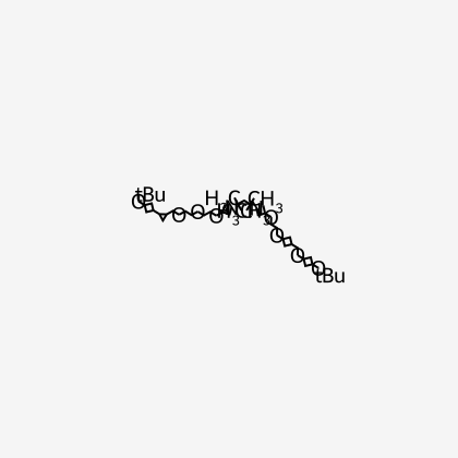 CC(C)(C)OC1CC(OCC2CC(OCCOC3CN(C(C)(C)CC(C)(C)N4CC(OCCOCCOCC5CC5C5CC(OC(C)(C)C)C5)C4)C3)C2)C1